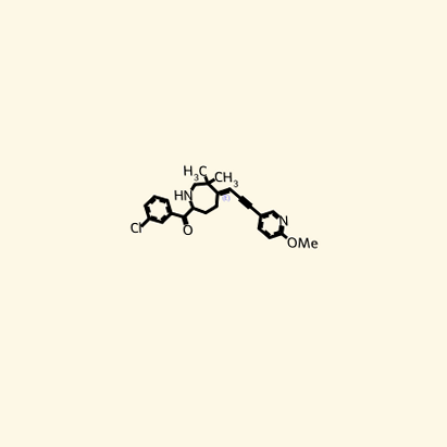 COc1ccc(C#C/C=C2\CCC(C(=O)c3cccc(Cl)c3)NCC2(C)C)cn1